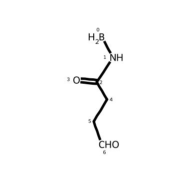 BNC(=O)CCC=O